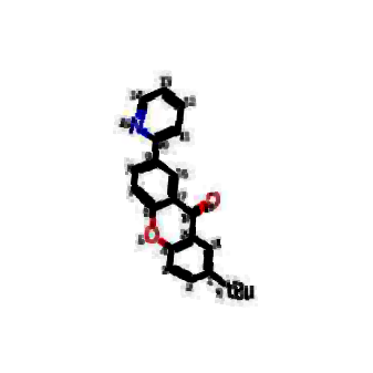 CC(C)(C)c1ccc2oc3ccc(-c4ccccn4)cc3c(=O)c2c1